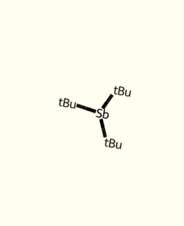 C[C](C)(C)[Sb]([C](C)(C)C)[C](C)(C)C